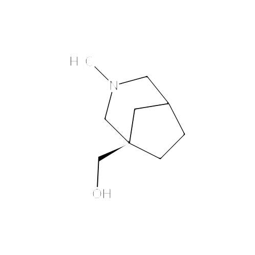 CN1CC2CC[C@@](CO)(C2)C1